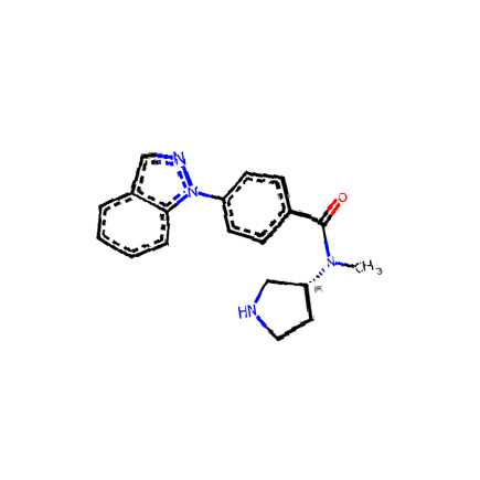 CN(C(=O)c1ccc(-n2ncc3ccccc32)cc1)[C@@H]1CCNC1